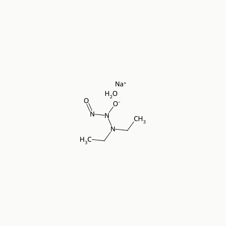 CCN(CC)N([O-])N=O.O.[Na+]